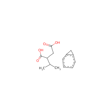 CC(C)C(CC(=O)O)C(=O)O.c1ccc2c(c1)C2